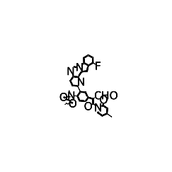 Cc1ccn(-c2oc3cc(N(C)S(C)(=O)=O)c(-c4ccc5ncn6c7cccc(F)c7cc6c5n4)cc3c2C=O)c(=O)c1